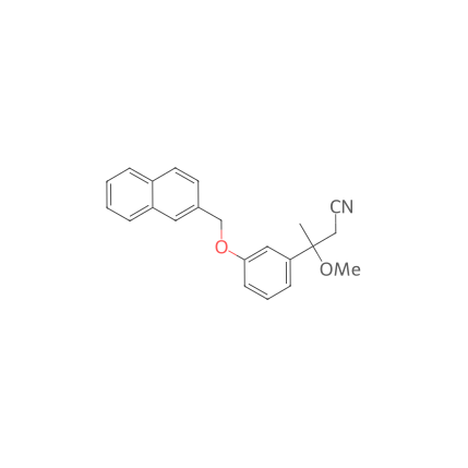 COC(C)(CC#N)c1cccc(OCc2ccc3ccccc3c2)c1